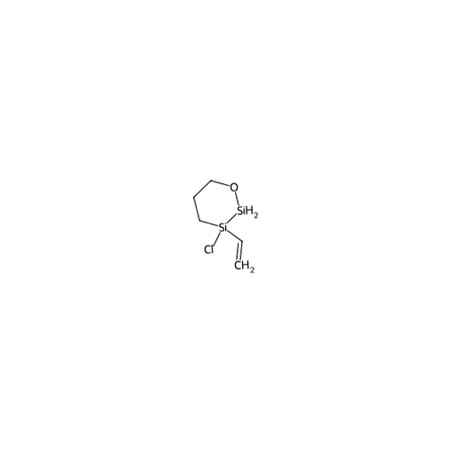 C=C[Si]1(Cl)CCCO[SiH2]1